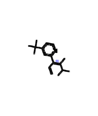 C=C/C(=C(/C)C(C)C)c1cc(C(C)(C)C)ccn1